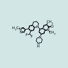 Cc1cc2c(N3CCCc4cc(-c5cnn(C)c5)c(C(F)F)cc43)cc(N3CCNCC3)cc2n(C)c1=O